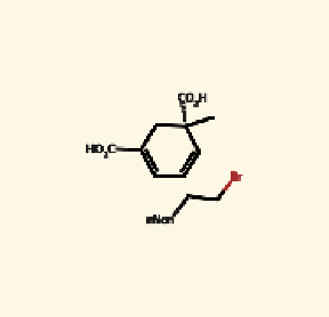 CCCCCCCCCCCBr.C[C@@]1(C(=O)O)C=CC=C(C(=O)O)C1